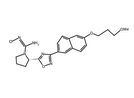 COCCCOc1ccc2cc(-c3noc([C@@H]4CCCN4/C(N)=N\Cl)n3)ccc2c1